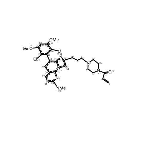 C=CC(=O)N1CCN(CCCc2nc3c(-c4c(Cl)c(OC)cc(OC)c4Cl)cc4cnc(NC)nc4n3n2)CC1